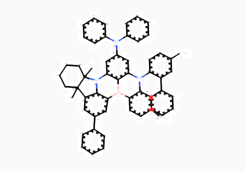 CC(C)(C)c1ccc(N2c3cc(C(C)(C)C)ccc3B3c4cc(-c5ccccc5)cc5c4N(c4cc(N(c6ccccc6)c6ccccc6)cc2c43)C2(C)CCCCC52C)c(-c2ccccc2)c1